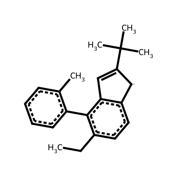 CCc1ccc2c(c1-c1ccccc1C)C=C(C(C)(C)C)[CH]2